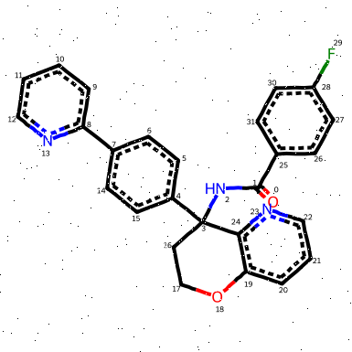 O=C(NC1(c2ccc(-c3ccccn3)cc2)CCOc2cccnc21)c1ccc(F)cc1